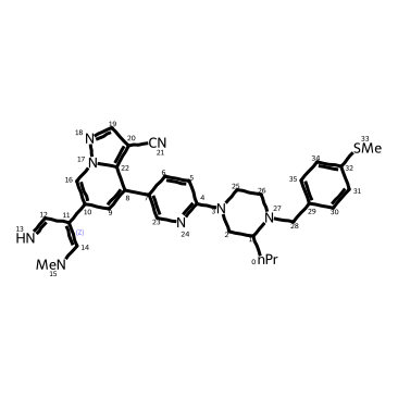 CCCC1CN(c2ccc(-c3cc(/C(C=N)=C/NC)cn4ncc(C#N)c34)cn2)CCN1Cc1ccc(SC)cc1